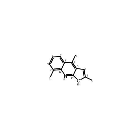 Cc1cc2c(C)c3cccc(C)c3nc2o1